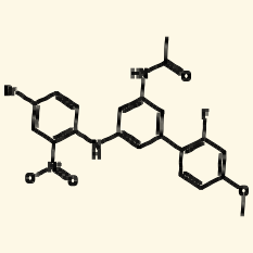 COc1ccc(-c2cc(NC(C)=O)cc(Nc3ccc(Br)cc3[N+](=O)[O-])c2)c(F)c1